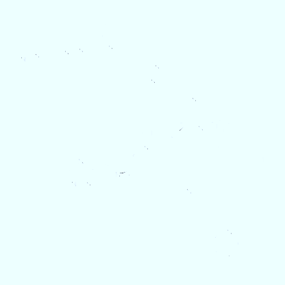 Cc1cc(Cl)cc(-c2ccnc3cc(CN4C(=O)C5CC5C4=O)sc23)c1CN1[C@@H](C)CN(Cc2cnn(CCCNC(=O)c3ccc(Cn4cc(C#Cc5ccc(Cc6nc(C(=O)N[C@@H]7COc8ccccc8N(C)C7=O)n[nH]6)cc5)cn4)nn3)c2)C[C@@H]1C